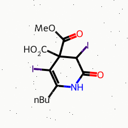 CCCCC1=C(I)C(C(=O)O)(C(=O)OC)C(I)C(=O)N1